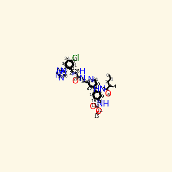 CCCC(C)C(=O)Nc1cc(NC(=O)OC)ccc1-c1ccnc(CNC(=O)/C=C/c2cc(Cl)ccc2-n2cnnn2)c1